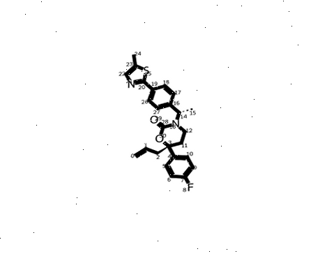 C=CC[C@]1(c2ccc(F)cc2)CCN([C@@H](C)c2ccc(-c3ncc(C)s3)cc2)C(=O)O1